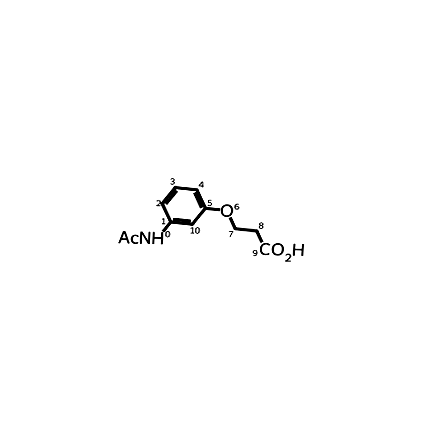 CC(=O)Nc1cccc(OCCC(=O)O)c1